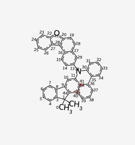 CC1(C)c2ccccc2-c2cc(N(c3ccc4c(ccc5oc6ccccc6c54)c3)c3ccccc3-c3ccccc3)ccc21